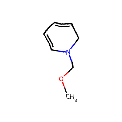 COCN1C=CC=CC1